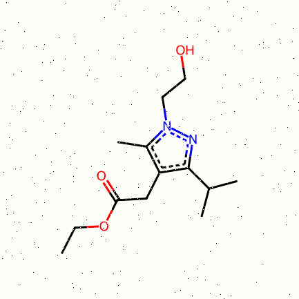 CCOC(=O)Cc1c(C(C)C)nn(CCO)c1C